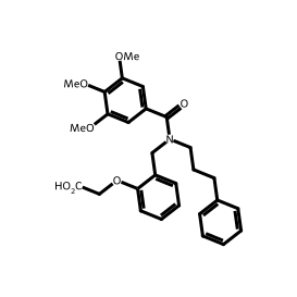 COc1cc(C(=O)N(CCCc2ccccc2)Cc2ccccc2OCC(=O)O)cc(OC)c1OC